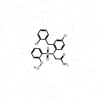 COc1ccccc1S(=O)(=O)N(CC(N)=O)c1ccc(Cl)cc1Cc1ccccc1Cl